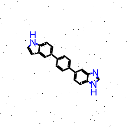 c1cc2cc(-c3ccc(-c4ccc5[nH]cnc5c4)cc3)ccc2[nH]1